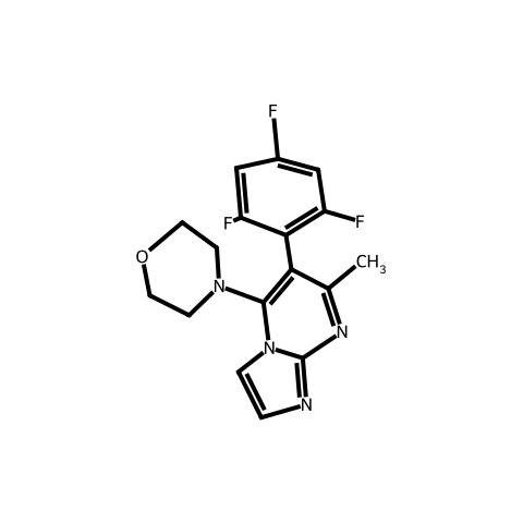 Cc1nc2nccn2c(N2CCOCC2)c1-c1c(F)cc(F)cc1F